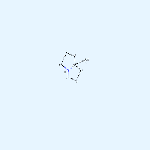 CC(=O)C12CCCN1CCC2